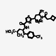 CC(=O)O[C@H](CC(C(C)C)N(C)C(=O)CC1CCC1)c1nc(C(=O)N[C@H](C[C@H](C)C(=O)O)Sc2ccc(C(F)(F)F)cc2)cs1